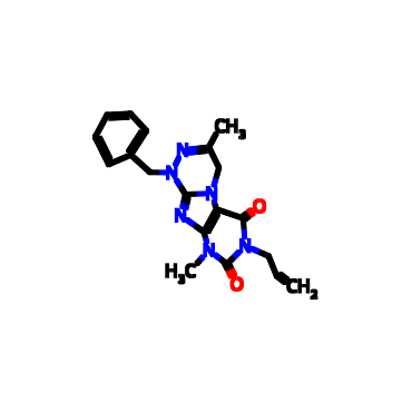 C=CCn1c(=O)c2c(nc3n2CC(C)=NN3Cc2ccccc2)n(C)c1=O